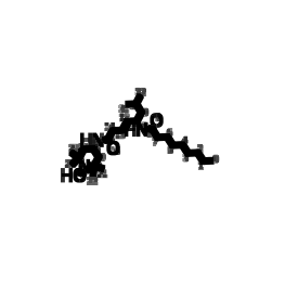 CCCCCCCCC(=O)NC(/C=C/CC(=O)NC1CC(C)(C)N(O)C(C)(C)C1)CC(C)C